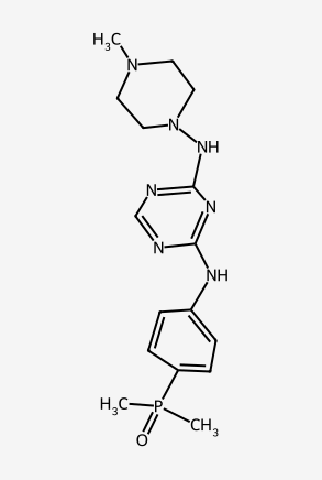 CN1CCN(Nc2ncnc(Nc3ccc(P(C)(C)=O)cc3)n2)CC1